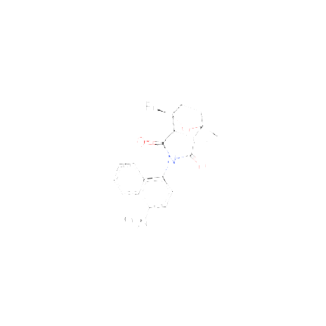 CC[C@@]12CC[C@@](C)(O1)[C@H]1C(=O)N(c3ccc([N+](=O)[O-])c4ccccc34)C(=O)C12